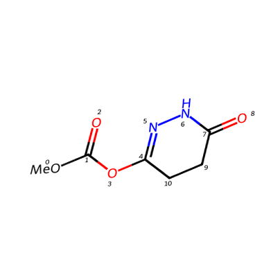 COC(=O)OC1=NNC(=O)CC1